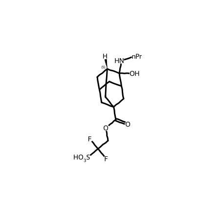 CCCNC1(O)C2CC3C[C@H]1CC(C(=O)OCC(F)(F)S(=O)(=O)O)(C3)C2